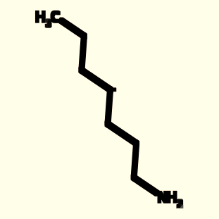 CCC[CH]CCCN